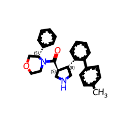 Cc1ccc(-c2ccccc2[C@@H]2CNC[C@H]2C(=O)N2CCOC[C@@H]2c2ccccc2)cc1